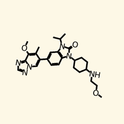 COCCNC1CCC(n2c(=O)n(C(C)C)c3cc(-c4cn5ncnc5c(OC)c4C)ccc32)CC1